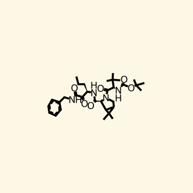 CCC[C@@H](NC(=O)[C@@H]1C2C(CN1C(=O)[C@@H](NC(=O)OC(C)(C)C)C(C)(C)C)C2(C)C)C(=O)C(=O)NCc1ccccc1